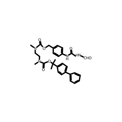 CN(CCN(C)C(=O)OC(C)(C)c1ccc(-c2ccccc2)cc1)C(=O)OCc1ccc(NC(=O)CNC=O)cc1